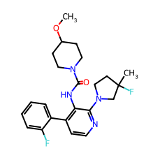 COC1CCN(C(=O)Nc2c(-c3ccccc3F)ccnc2N2CCC(C)(F)C2)CC1